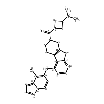 CN(C)C1CN(C(=O)[C@H]2CCc3c(sc4ncnc(Nc5ccn6nccc6c5Cl)c34)C2)C1